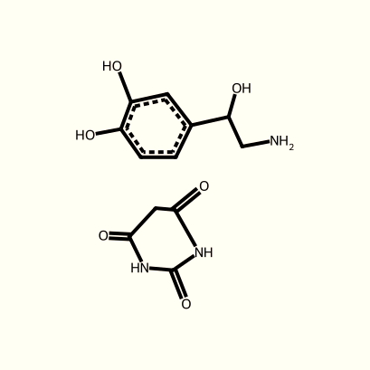 NCC(O)c1ccc(O)c(O)c1.O=C1CC(=O)NC(=O)N1